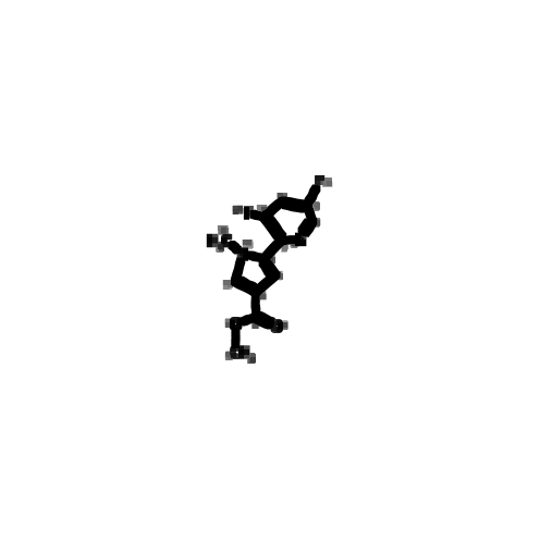 COC(=O)c1cc(-c2ncc(F)cc2F)n(C)c1